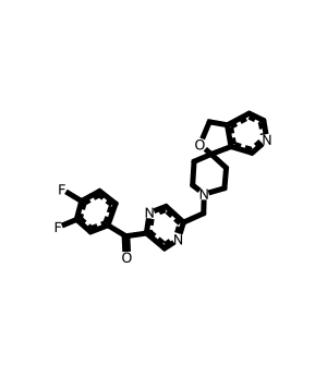 O=C(c1ccc(F)c(F)c1)c1cnc(CN2CCC3(CC2)OCc2ccncc23)cn1